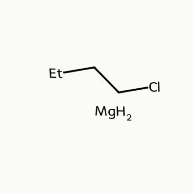 CCCCCl.[MgH2]